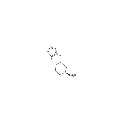 Cn1cncc1C[C@H]1CC[C@H](C(=O)O)CC1